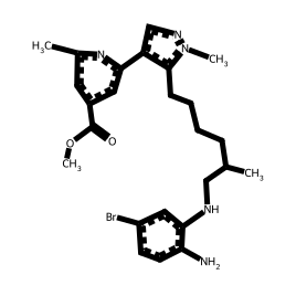 COC(=O)c1cc(C)nc(-c2cnn(C)c2CCCCC(C)CNc2cc(Br)ccc2N)c1